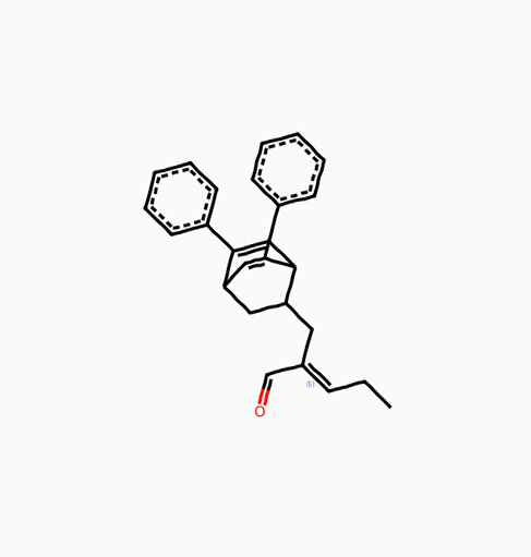 CC/C=C(/C=O)CC1CC2C=C(c3ccccc3)C1C=C2c1ccccc1